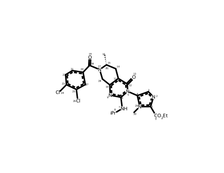 CCOC(=O)c1ncc(-n2c(NC(C)C)nc3c(c2=O)C[C@@H](C)N(C(=O)c2ccc(Cl)c(Cl)c2)C3)n1C